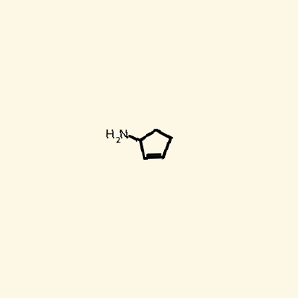 N[C]1C=CCC1